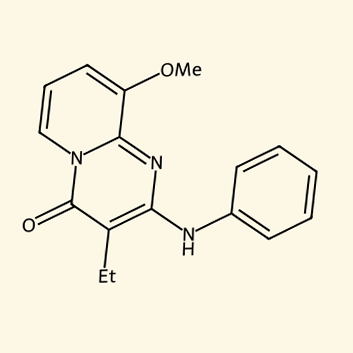 CCc1c(Nc2ccccc2)nc2c(OC)cccn2c1=O